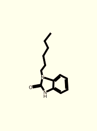 CCCCCCn1c(=O)[nH]c2ccccc21